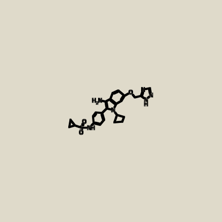 Nc1c(-c2ccc(NS(=O)(=O)C3CC3)cc2)n(C2CCC2)c2cc(OCc3ncn[nH]3)ccc12